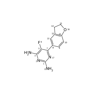 Nc1nc(N)c(F)c(-c2ccc3c(c2)CCO3)n1